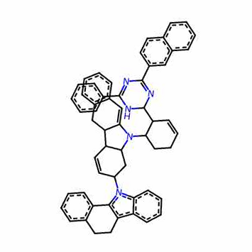 C1=CC(C2N=C(c3ccc4ccccc4c3)N=C(c3ccccc3)N2)C(N2C3=Cc4ccccc4CC3C3C=CC(n4c5c(c6ccccc64)CCc4ccccc4-5)CC32)CC1